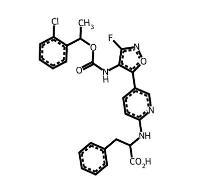 CC(OC(=O)Nc1c(F)noc1-c1ccc(NC(Cc2ccccc2)C(=O)O)nc1)c1ccccc1Cl